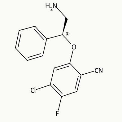 N#Cc1cc(F)c(Cl)cc1O[C@H](CN)c1ccccc1